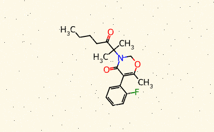 CCCCC(=O)C(C)(C)N1COC(C)=C(c2ccccc2F)C1=O